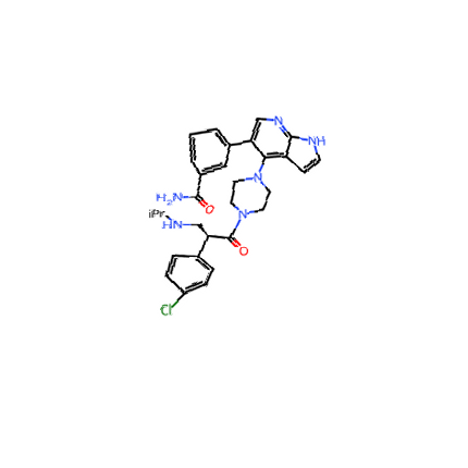 CC(C)NC[C@@H](C(=O)N1CCN(c2c(-c3cccc(C(N)=O)c3)cnc3[nH]ccc23)CC1)c1ccc(Cl)cc1